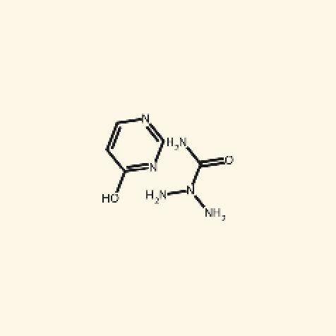 NC(=O)N(N)N.Oc1ccncn1